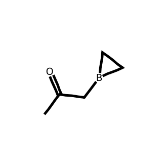 CC(=O)CB1CC1